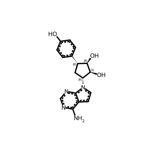 Nc1ncnc2c1ccn2[C@@H]1C[C@H](c2ccc(O)cc2)[C@@H](O)[C@H]1O